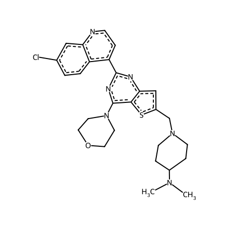 CN(C)C1CCN(Cc2cc3nc(-c4ccnc5cc(Cl)ccc45)nc(N4CCOCC4)c3s2)CC1